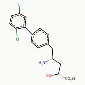 CCOC(=O)[C@H](O)C[C@H](N)Cc1ccc(-c2cc(Cl)ccc2Cl)cc1